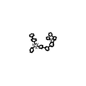 c1ccc(-c2ccc(-c3nc(-c4ccccc4)nc(-c4ccc(-c5cccc(-c6ccc7c8cccc(-c9ccccc9)c8n(-c8ccccc8)c7c6)c5)cc4)n3)cc2)cc1